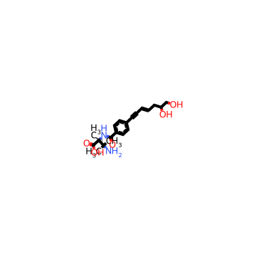 CC(C)(N)[C@](C)(NC(=O)c1ccc(C#CC=CCC(O)CO)cc1)C(=O)O